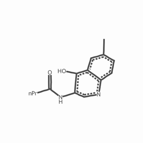 CCCC(=O)Nc1cnc2ccc(C)cc2c1O